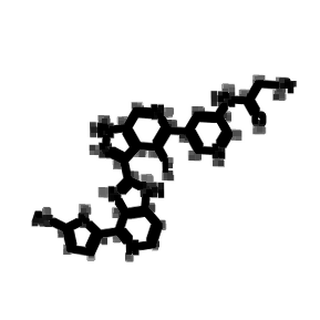 CC(=O)c1ccc(-c2nccc3[nH]c(-c4n[nH]c5cnc(-c6cncc(NC(=O)CC(C)C)c6)c(F)c45)nc23)s1